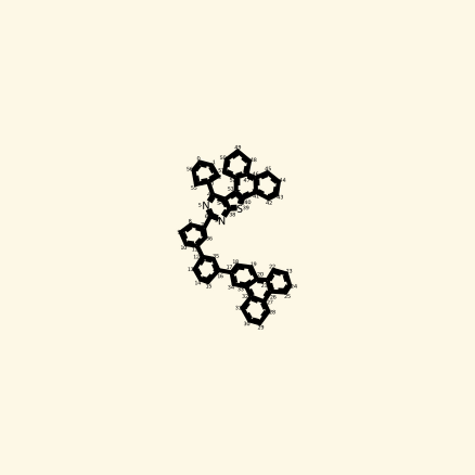 c1ccc(-c2nc(-c3cccc(-c4cccc(-c5ccc6c7ccccc7c7ccccc7c6c5)c4)c3)nc3sc4c5ccccc5c5ccccc5c4c23)cc1